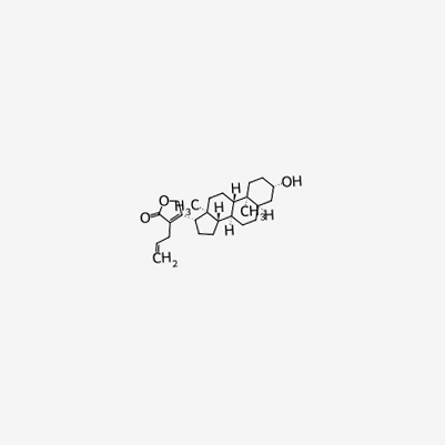 C=CCC1=C([C@H]2CC[C@H]3[C@@H]4CC[C@@H]5C[C@@H](O)CC[C@]5(C)[C@H]4CC[C@]23C)COC1=O